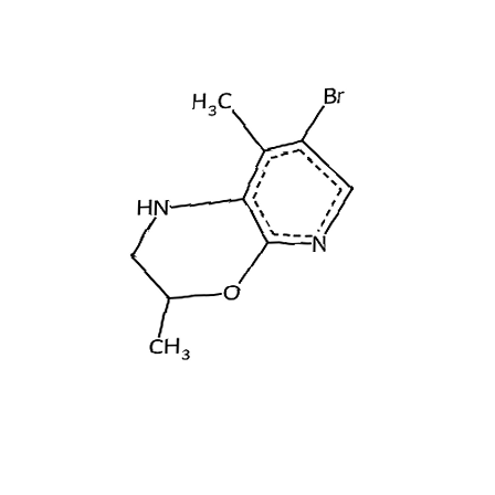 Cc1c(Br)cnc2c1NCC(C)O2